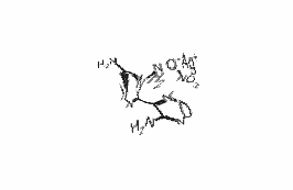 Nc1nonc1-c1nnc(N)n1N.O=[N+]([O-])[O-].[Ag+]